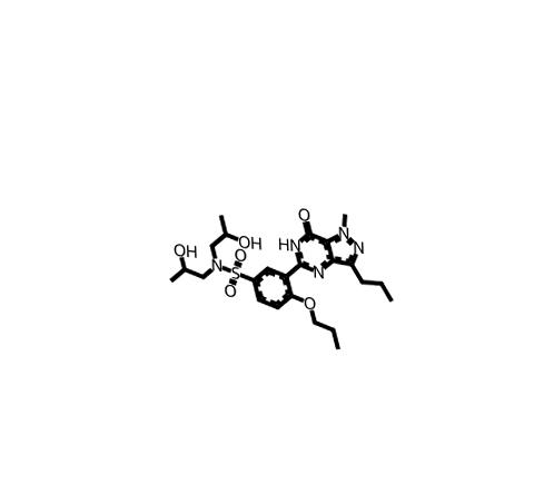 CCCOc1ccc(S(=O)(=O)N(CC(C)O)CC(C)O)cc1-c1nc2c(CCC)nn(C)c2c(=O)[nH]1